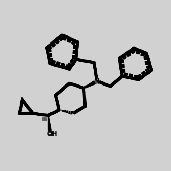 O[C@@H](C1CC1)[C@H]1CC[C@H](N(Cc2ccccc2)Cc2ccccc2)CC1